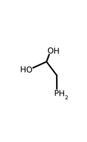 OC(O)CP